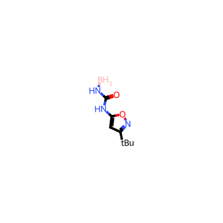 BNC(=O)Nc1cc(C(C)(C)C)no1